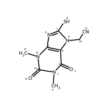 Cn1c(=O)c2c(nc(S)n2CC#N)n(C)c1=O